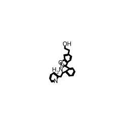 N[C@@H](Cc1ccccn1)c1ccccc1-c1noc2cc(CCO)ccc12